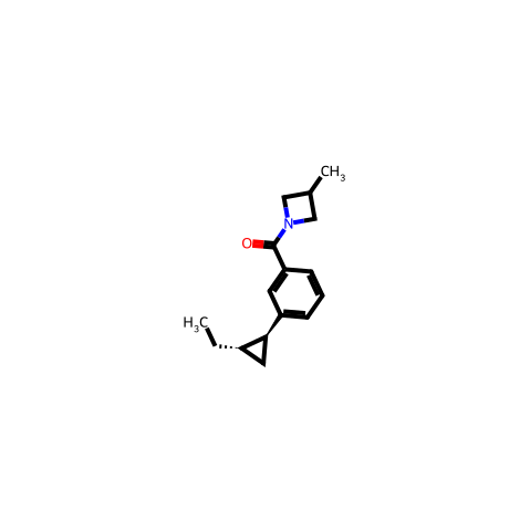 CC[C@H]1C[C@@H]1c1cccc(C(=O)N2CC(C)C2)c1